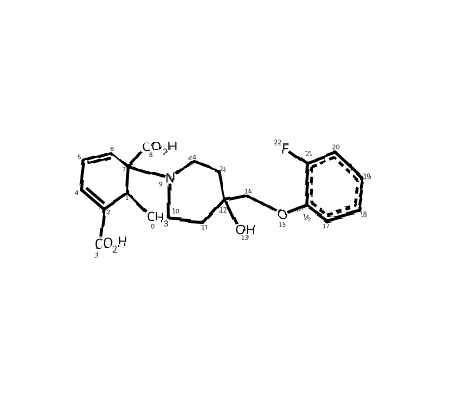 CC1C(C(=O)O)=CC=CC1(C(=O)O)N1CCC(O)(COc2ccccc2F)CC1